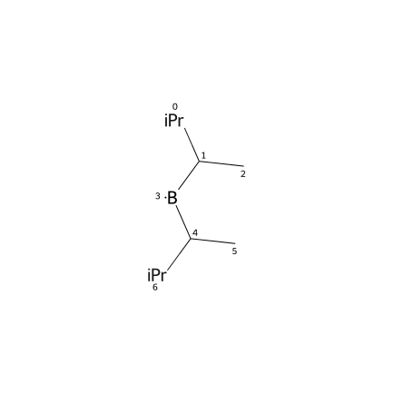 CC(C)C(C)[B]C(C)C(C)C